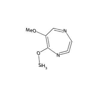 COC1=C(O[SiH3])N=C=CN=C1